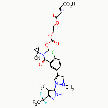 CN1CC(c2ccc(Cl)c(C(=O)N(COC(=O)OCCOC(=O)/C=C/C(=O)O)C3(C#N)CC3)c2)=CN1c1[nH]nc(C(F)(F)C(F)(F)F)c1C(F)(F)F